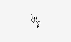 Cn1ccc(OF)n1